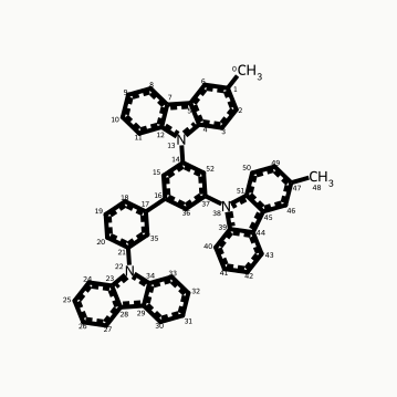 Cc1ccc2c(c1)c1ccccc1n2-c1cc(-c2cccc(-n3c4ccccc4c4ccccc43)c2)cc(-n2c3ccccc3c3cc(C)ccc32)c1